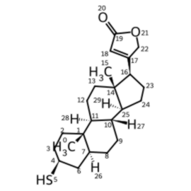 C[C@]12CC[C@H](S)C[C@@H]1CC[C@@H]1[C@@H]2CC[C@]2(C)[C@@H](C3=CC(=O)OC3)CC[C@@H]12